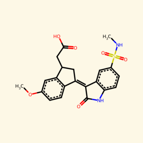 CNS(=O)(=O)c1ccc2c(c1)/C(=C1\CC(CC(=O)O)c3cc(OC)ccc31)C(=O)N2